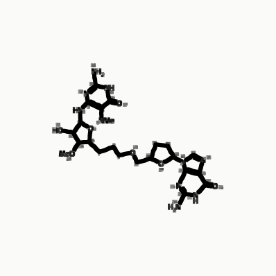 CNc1c(NC2OC(CCCOCC3CCC(n4cnc5c(=O)[nH]c(N)nc54)O3)C(OC)C2O)nc(N)[nH]c1=O